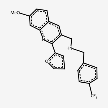 COc1ccc2cc(CNCc3ccc(C(F)(F)F)cc3)c(-c3ccco3)nc2c1